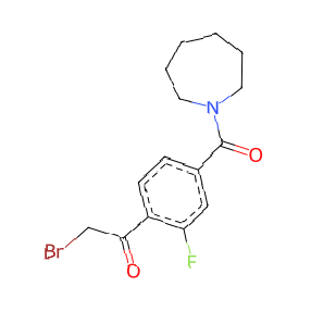 O=C(CBr)c1ccc(C(=O)N2CCCCCC2)cc1F